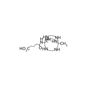 CC12CNCCNCC(NC(=O)CCCC(=O)O)(CNCCNC1)CNCCN2